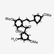 COc1ccc(/C=C/c2cc(OC)cc(OC)c2C(=O)c2cc(C)cc(OC)c2)cc1